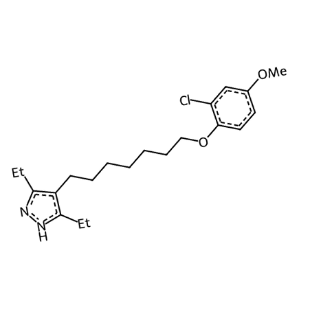 CCc1n[nH]c(CC)c1CCCCCCCOc1ccc(OC)cc1Cl